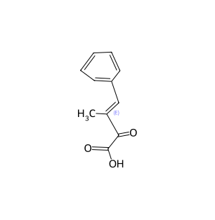 C/C(=C\c1ccccc1)C(=O)C(=O)O